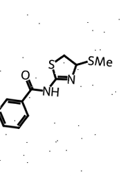 CSC1CSC(NC(=O)c2ccccc2)=N1